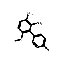 COc1ccc(N)c(N)c1-c1ccc(F)cc1